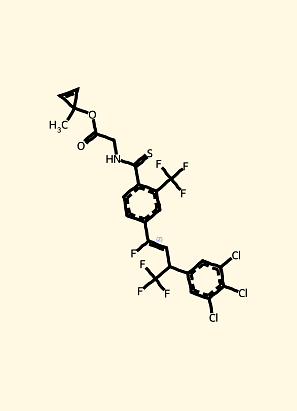 CC1(OC(=O)CNC(=S)c2ccc(/C(F)=C/C(c3cc(Cl)c(Cl)c(Cl)c3)C(F)(F)F)cc2C(F)(F)F)C=C1